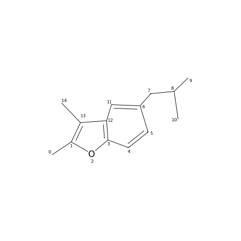 Cc1oc2ccc(CC(C)C)cc2c1C